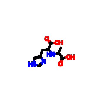 CC(NC(Cc1c[nH]cn1)C(=O)O)C(=O)O